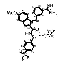 CC(=O)O.CC(=O)[O-].COc1ccc2c(c1)cc(C(=O)NCc1ccc([N+](C)(C)C)cc1)n2Cc1cccc(C(=N)N)c1